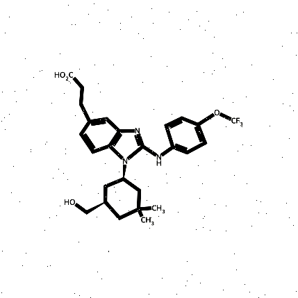 CC1(C)C[C@@H](CO)C[C@@H](n2c(Nc3ccc(OC(F)(F)F)cc3)nc3cc(CCC(=O)O)ccc32)C1